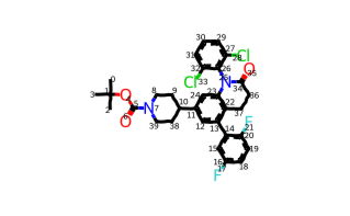 CC(C)(C)OC(=O)N1CCC(c2cc(-c3cc(F)ccc3F)c3c(c2)N(c2c(Cl)cccc2Cl)C(=O)CC3)CC1